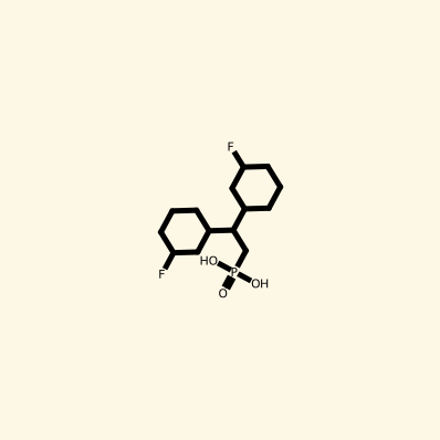 O=P(O)(O)CC(C1CCCC(F)C1)C1CCCC(F)C1